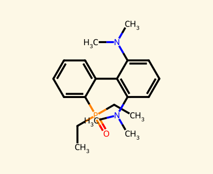 CCP(=O)(CC)c1ccccc1-c1c(N(C)C)cccc1N(C)C